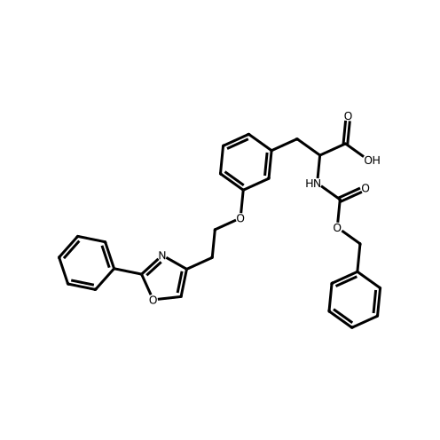 O=C(NC(Cc1cccc(OCCc2coc(-c3ccccc3)n2)c1)C(=O)O)OCc1ccccc1